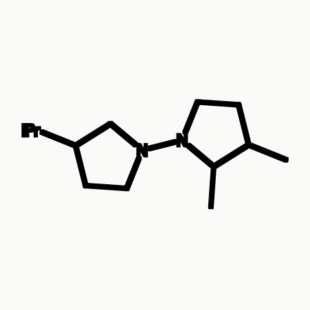 CC(C)C1CCN(N2CCC(C)C2C)C1